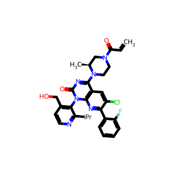 C=CC(=O)N1CCN(c2nc(=O)n(-c3c(CO)ccnc3C(C)C)c3nc(-c4ccccc4F)c(Cl)cc23)[C@@H](C)C1